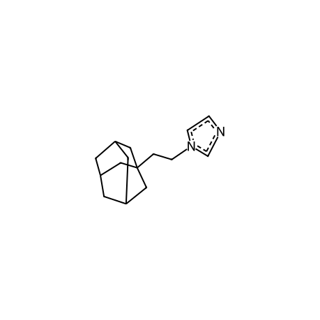 c1cn(CCC23CC4CC(CC(C4)C2)C3)cn1